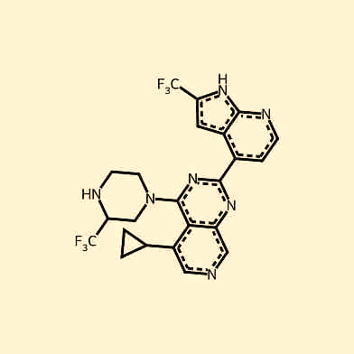 FC(F)(F)c1cc2c(-c3nc(N4CCNC(C(F)(F)F)C4)c4c(C5CC5)cncc4n3)ccnc2[nH]1